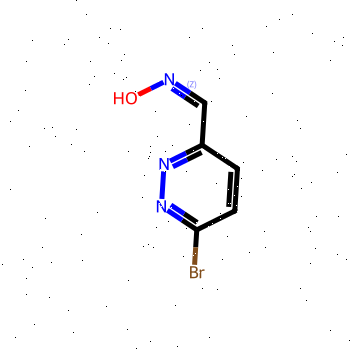 O/N=C\c1ccc(Br)nn1